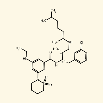 CCNc1cc(C(=O)N[C@@H](Cc2cccc(Cl)c2)[C@H](O)CNC(C)CCCC(C)C)cc(N2CCCCS2(=O)=O)c1